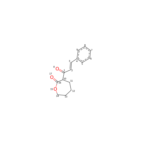 O=C(C=Cc1ccccc1)C1CCCCOC1=O